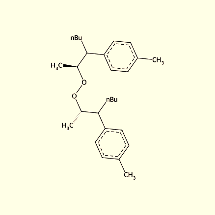 CCCCC(c1ccc(C)cc1)[C@H](C)OO[C@@H](C)C(CCCC)c1ccc(C)cc1